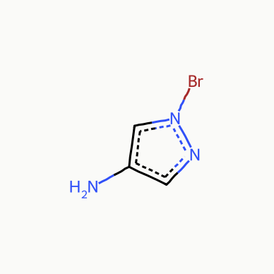 Nc1cnn(Br)c1